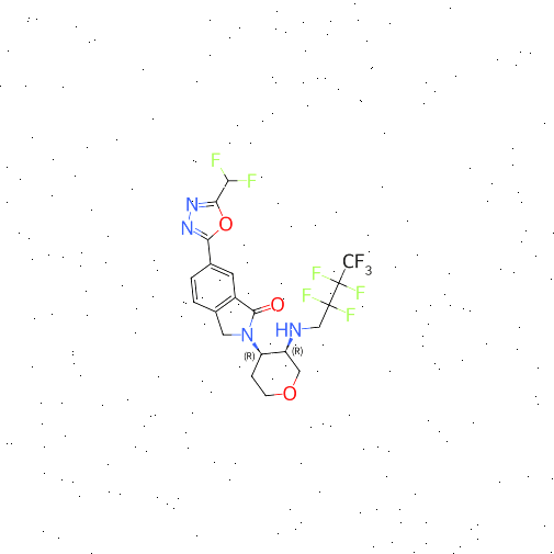 O=C1c2cc(-c3nnc(C(F)F)o3)ccc2CN1[C@@H]1CCOC[C@@H]1NCC(F)(F)C(F)(F)C(F)(F)F